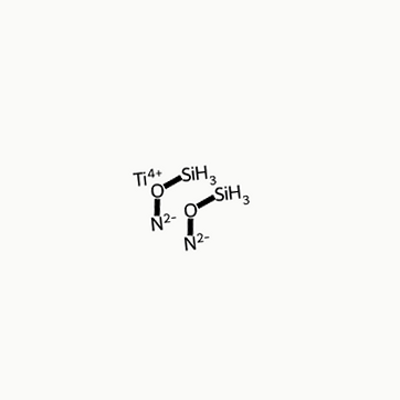 [N-2]O[SiH3].[N-2]O[SiH3].[Ti+4]